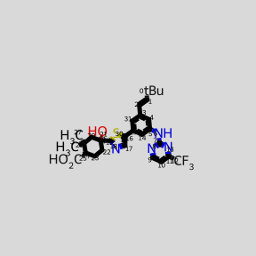 CC(C)(C)C=Cc1cc(Nc2nccc(C(F)(F)F)n2)cc(-c2cnc([C@]3(O)CC[C@@H](C(=O)O)C(C)(C)C3)s2)c1